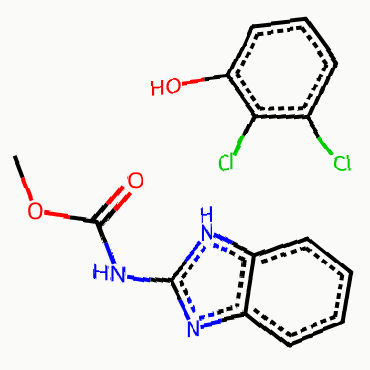 COC(=O)Nc1nc2ccccc2[nH]1.Oc1cccc(Cl)c1Cl